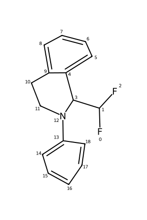 FC(F)C1c2ccccc2CCN1c1ccccc1